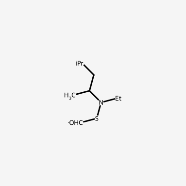 CCN(S[C]=O)C(C)CC(C)C